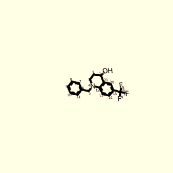 OC1CCN(Cc2ccccc2)c2ccc(C(F)(F)F)cc21